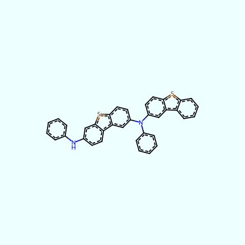 c1ccc(Nc2ccc3c(c2)sc2ccc(N(c4ccccc4)c4ccc5sc6ccccc6c5c4)cc23)cc1